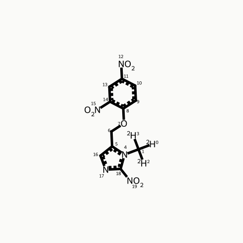 [2H]C([2H])([2H])n1c(COc2ccc([N+](=O)[O-])cc2[N+](=O)[O-])cnc1[N+](=O)[O-]